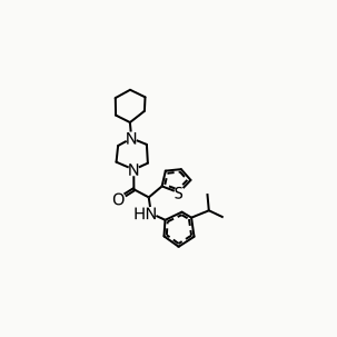 CC(C)c1cccc(NC(C(=O)N2CCN(C3CCCCC3)CC2)c2cccs2)c1